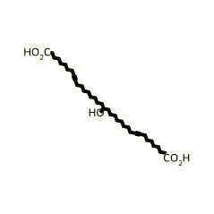 O=C(O)CCCCCCCC#CCCCCCCCCC(O)CCCCCCCCC#CCCCCCCCC(=O)O